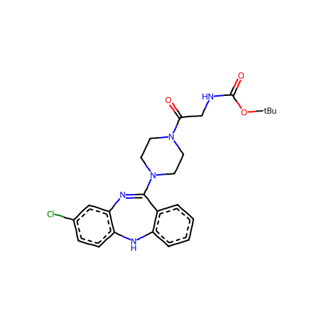 CC(C)(C)OC(=O)NCC(=O)N1CCN(C2=Nc3cc(Cl)ccc3Nc3ccccc32)CC1